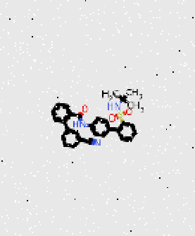 CC(C)(C)NS(=O)(=O)c1ccccc1-c1ccc(NC(=O)c2ccccc2-c2cccc(C#N)c2)cc1